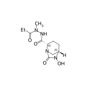 CCC(=O)N(C)NC(=O)[C@@H]1CC[C@H]2CN1C(=O)N2O